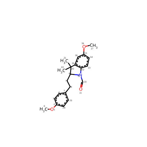 COc1ccc(CCC2N(C=O)c3ccc(OC)cc3C2(C)C)cc1